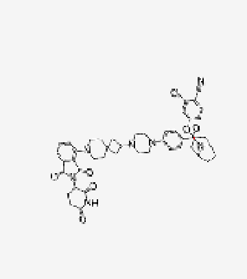 N#Cc1ccc(OC2CC3CCC(C2)N3C(=O)c2ccc(N3CCN(C4CC5(CCN(c6cccc7c6C(=O)N(C6CCC(=O)NC6=O)C7=O)CC5)C4)CC3)cc2)cc1Cl